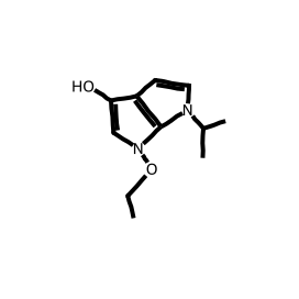 CCOn1cc(O)c2ccn(C(C)C)c21